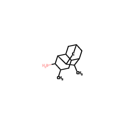 BC1C(C)CC2C3CC4CC(C3C)C1C2C4